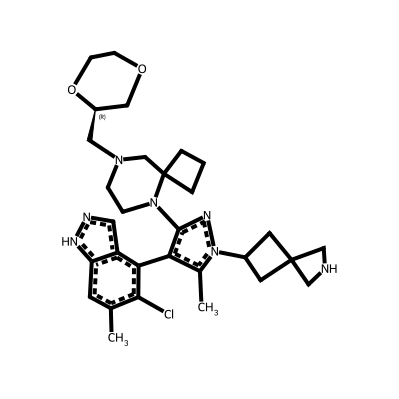 Cc1cc2[nH]ncc2c(-c2c(N3CCN(C[C@@H]4COCCO4)CC34CCC4)nn(C3CC4(CNC4)C3)c2C)c1Cl